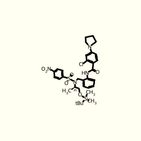 C[C@H](CO[Si](C)(C)C(C)(C)C)N(Cc1ccccc1NC(=O)c1ccc(N2CCCC2)cc1Cl)S(=O)(=O)c1ccc([N+](=O)[O-])cc1